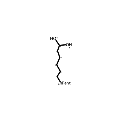 CCCCCC[CH]CCCC(O)O